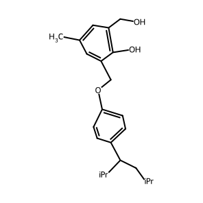 Cc1cc(CO)c(O)c(COc2ccc(C(CC(C)C)C(C)C)cc2)c1